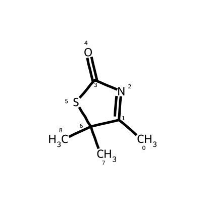 CC1=NC(=O)SC1(C)C